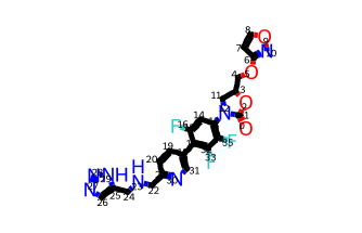 O=C1OC(COc2ccon2)CN1c1cc(F)c(-c2ccc(CNCc3cnn[nH]3)nc2)c(F)c1F